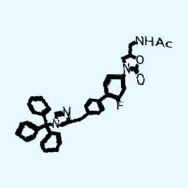 CC(=O)NCC1CN(c2ccc(-c3ccc(Cc4cn(C(c5ccccc5)(c5ccccc5)c5ccccc5)cn4)cc3)c(F)c2)C(=O)O1